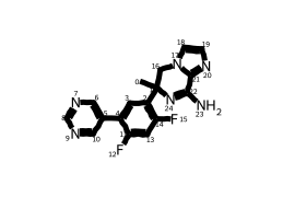 CC1(c2cc(-c3cncnc3)c(F)cc2F)Cn2ccnc2C(N)=N1